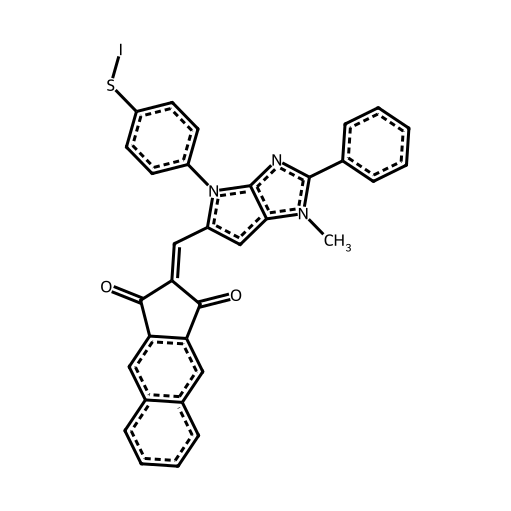 Cn1c(-c2ccccc2)nc2c1cc(C=C1C(=O)c3cc4ccccc4cc3C1=O)n2-c1ccc(SI)cc1